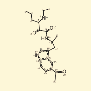 CCCC(NCC)C(=O)C(=O)NC(C)Cc1c[nH]c2ccc(C(C)=O)cc12